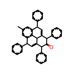 Cc1cc2c3c(c1)C(c1ccccc1)C=C1C(c4ccccc4)C(=O)C(c4ccccc4)C(=CC2c2ccccc2)C13